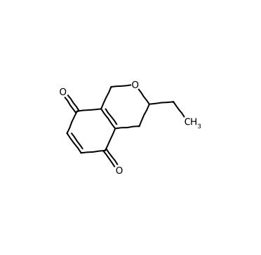 CCC1CC2=C(CO1)C(=O)C=CC2=O